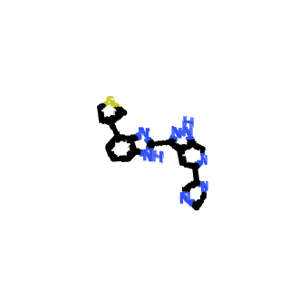 c1cc(-c2ccsc2)c2nc(-c3n[nH]c4cnc(-c5cnccn5)cc34)[nH]c2c1